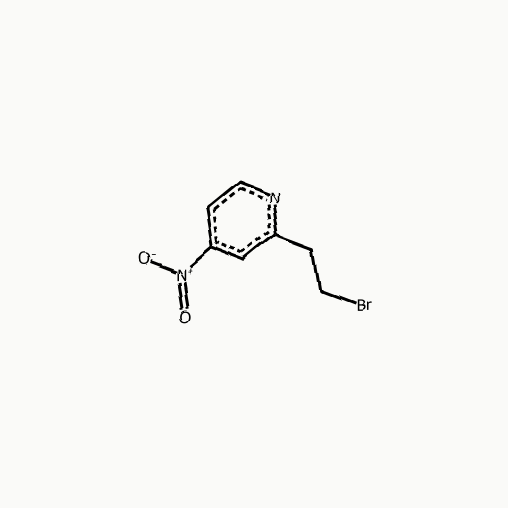 O=[N+]([O-])c1ccnc(CCBr)c1